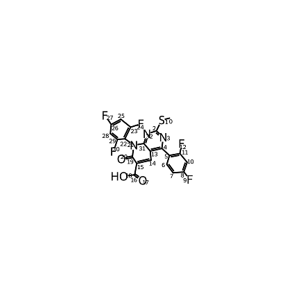 CSc1nc(-c2ccc(F)cc2F)c2cc(C(=O)O)c(=O)n(-c3c(F)cc(F)cc3F)c2n1